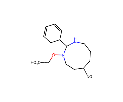 O=NC1CCCNC(C2C=CC=CC2)N(OCC(=O)O)CC1